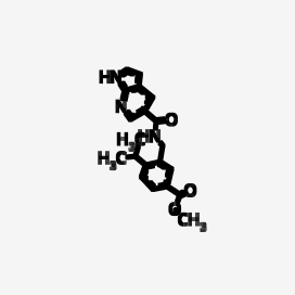 COC(=O)c1ccc(C(C)C)c(CNC(=O)c2cnc3[nH]ccc3c2)c1